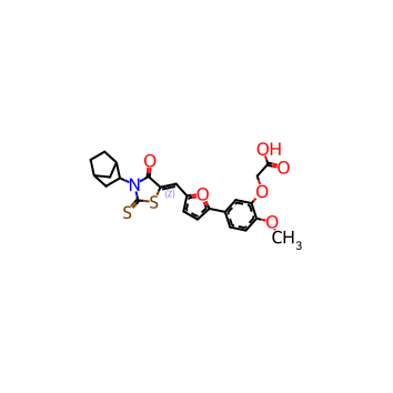 COc1ccc(-c2ccc(/C=C3\SC(=S)N(C4CC5CCC4C5)C3=O)o2)cc1OCC(=O)O